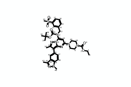 CCOC(=O)N1CCN(c2cc(N(Cc3cccc(S(C)(=O)=O)c3)C(=O)OC(C)(C)C)n3nc(C)c(-c4ccc5c(c4)c(C)nn5C)c3n2)CC1